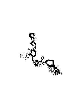 Cc1nc(N2CC(n3cccn3)C2)ccc1Cn1cc(C(=O)N[C@@H]2CCc3c2n[nH]c3C)cn1